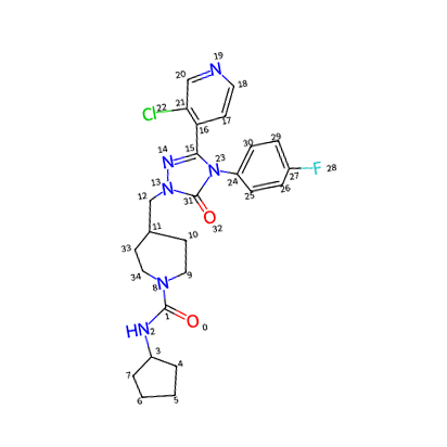 O=C(NC1CCCC1)N1CCC(Cn2nc(-c3ccncc3Cl)n(-c3ccc(F)cc3)c2=O)CC1